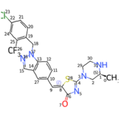 C[C@H]1CN(C2=NC(=O)/C(=C/c3ccc4c(cnn4Cc4ccc(Cl)cc4C(F)(F)F)c3)S2)CCN1